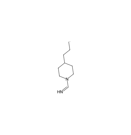 [CH2]CCC1CCN(C=N)CC1